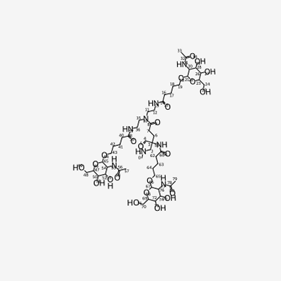 CNCC(C=O)(CCC(=O)N(CCNC(=O)CCCCOC1OC(CO)C(O)C(O)C1NC(C)=O)CCNC(=O)CCCCOC1OC(CO)C(O)C(O)C1NC(C)=O)NC(=O)CCCCOC1OC(CO)C(O)C(O)C1NC(C)=O